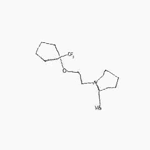 FC(F)(F)C1(OCCN2CCCC2S)CCCC1